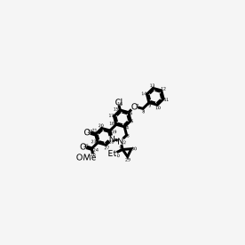 CCC1(N2Cc3cc(OCc4ccccc4)c(Cl)cc3-c3cc(=O)c(C(=O)OC)cn32)CC1